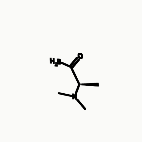 BC(=O)[C@@H](C)N(C)C